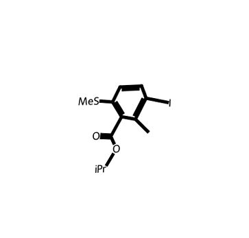 CSc1ccc(I)c(C)c1C(=O)OC(C)C